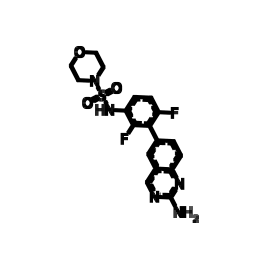 Nc1ncc2cc(-c3c(F)ccc(NS(=O)(=O)N4CCOCC4)c3F)ccc2n1